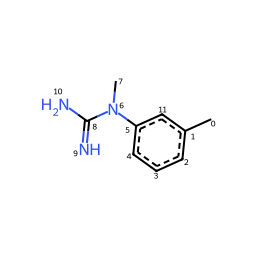 Cc1cccc(N(C)C(=N)N)c1